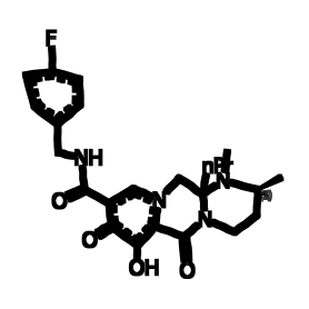 CCCC12Cn3cc(C(=O)NCc4ccc(F)cc4)c(=O)c(O)c3C(=O)N1CC[C@H](C)N2C